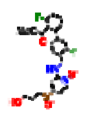 COC(=O)c1c(F)cccc1-c1ccc(CNc2cc([S+]([O-])CCCO)cc[n+]2[O-])c(F)c1